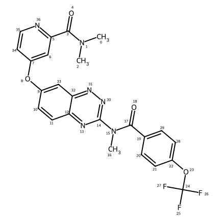 CN(C)C(=O)c1cc(Oc2ccc3nc(N(C)C(=O)c4ccc(OC(F)(F)F)cc4)nnc3c2)ccn1